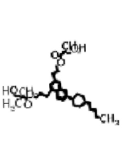 C=C(CO)C(=O)OCCCc1cc(CCCOC(=O)C(C)(C)CO)c2ccc(C3CCC(CCCCC)CC3)cc2c1